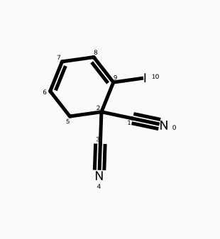 N#CC1(C#N)CC=CC=C1I